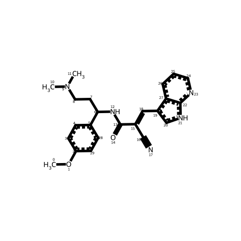 COc1ccc(C(CCN(C)C)NC(=O)/C(C#N)=C/c2c[nH]c3ncccc23)cc1